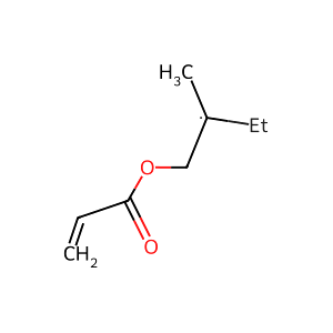 C=CC(=O)OC[C](C)CC